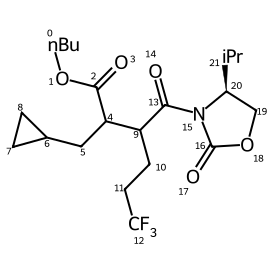 CCCCOC(=O)C(CC1CC1)C(CCC(F)(F)F)C(=O)N1C(=O)OC[C@@H]1C(C)C